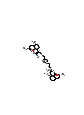 C[C@@H]1CC[C@H]2C(COCc3cn(CCO[C@@]4(C(F)(F)F)O[C@@H]5O[C@]6(C)CCC7CCC[C@@H]([C@H]4C)[C@]75OO6)nn3)=C(C(F)(F)F)O[C@@H]3O[C@]4(C)CCC1[C@]32OO4